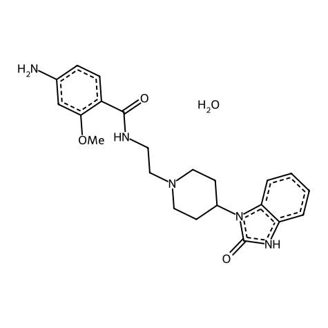 COc1cc(N)ccc1C(=O)NCCN1CCC(n2c(=O)[nH]c3ccccc32)CC1.O